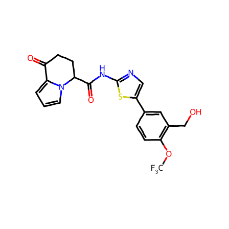 O=C1CCC(C(=O)Nc2ncc(-c3ccc(OC(F)(F)F)c(CO)c3)s2)n2cccc21